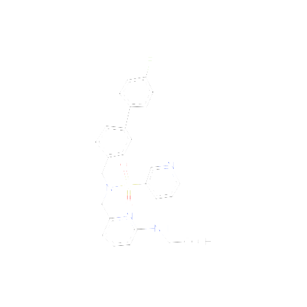 O=C(O)CNc1cccc(CN(Cc2ccc(-c3ccc(F)cc3)cc2)S(=O)(=O)c2cccnc2)n1